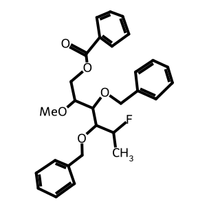 COC(COC(=O)c1ccccc1)C(OCc1ccccc1)C(OCc1ccccc1)C(C)F